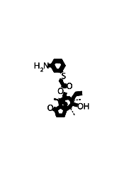 C=C[C@]1(C)C[C@@H](OC(=O)CSc2cccc(N)c2)[C@]2(C)C(C)CCC3(CCC(=O)C32)[C@@H](C)C1O